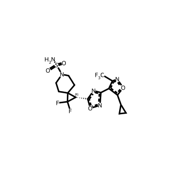 NS(=O)(=O)N1CCC2(CC1)[C@H](c1nc(-c3c(C(F)(F)F)noc3C3CC3)no1)C2(F)F